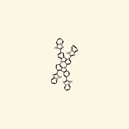 c1cc[n+]2nc(-c3ccc4c(c3)c3c(-c5nc6cccc[n+]6[nH]5)ccc5c3n4c3ccc(-c4nc6cccc[n+]6[nH]4)c4c6cc(-c7n[n+]8ccccc8[nH]7)ccc6n5c43)[nH]c2c1